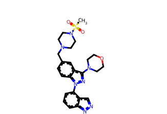 CS(=O)(=O)N1CCN(Cc2ccc3c(c2)c(N2CCOCC2)nn3-c2cccc3[nH]ncc23)CC1